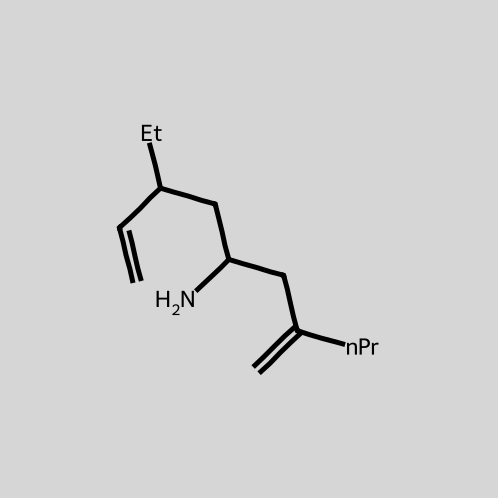 C=CC(CC)CC(N)CC(=C)CCC